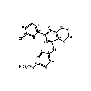 CCOC(=O)Cc1ccc(Nc2nc(-c3cccc(Cl)c3)nc3c2CCCC3)cc1